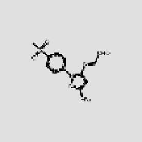 CC(C)(C)c1cc(N=CC=O)n(-c2ccc(S(C)(=O)=O)cc2)n1